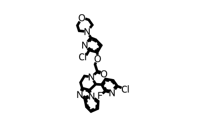 O=C(COc1ccc(N2CCOCC2)nc1Cl)N1CCc2nc3ccccn3c2C1c1ccc(Cl)nc1F